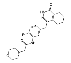 O=C(CN1CCOCC1)Nc1cc(Cc2n[nH]c(=O)c3c2CCCC3)ccc1F